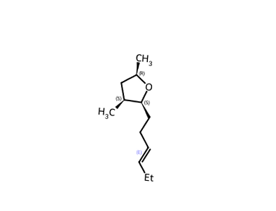 CC/C=C/CC[C@@H]1O[C@H](C)C[C@@H]1C